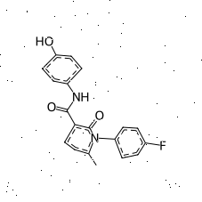 Cc1ccc(C(=O)Nc2ccc(O)cc2)c(=O)n1-c1ccc(F)cc1